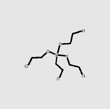 ClCCO[Si](CCCl)(OCCCl)OCCCl